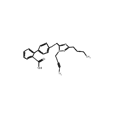 CC#CCn1nc(CCCC)nc1Cc1ccc(-c2ccccc2C(=O)O)cc1